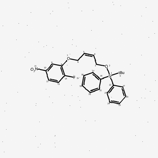 CC(C)(C)[Si](OC/C=C\COc1cc([N+](=O)[O-])ccc1F)(c1ccccc1)c1ccccc1